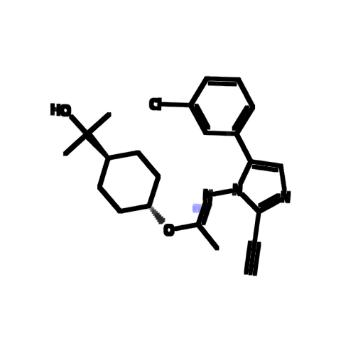 C#Cc1ncc(-c2cccc(Cl)c2)n1/N=C(\C)O[C@H]1CC[C@H](C(C)(C)O)CC1